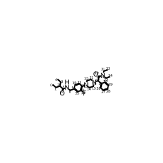 CCC(CC)C(=O)NCc1ccc(N2CCN(C(C(=O)N(CC)CC)c3ccccc3)CC2)c(F)c1